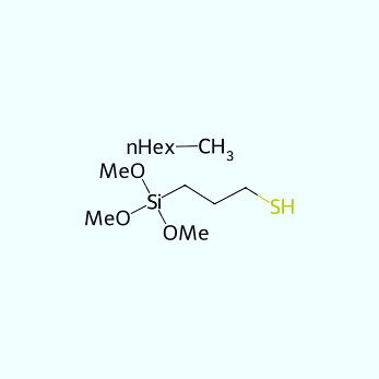 CCCCCCC.CO[Si](CCCS)(OC)OC